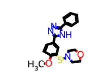 COc1ccc(-c2nnc(-c3ccccc3)[nH]2)cc1SN1CCOCC1